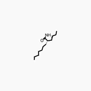 CCCCCCC[C@@H](CCCC)C(N)=O